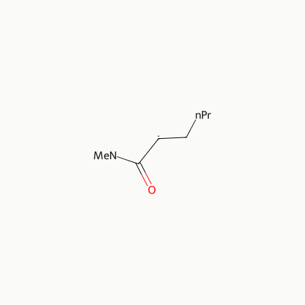 [CH2]CCC[CH]C(=O)NC